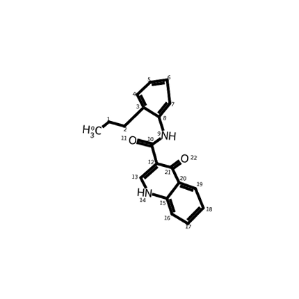 CCCc1ccccc1NC(=O)c1c[nH]c2ccccc2c1=O